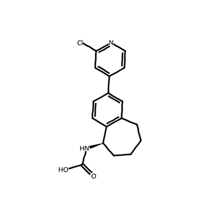 O=C(O)N[C@@H]1CCCCc2cc(-c3ccnc(Cl)c3)ccc21